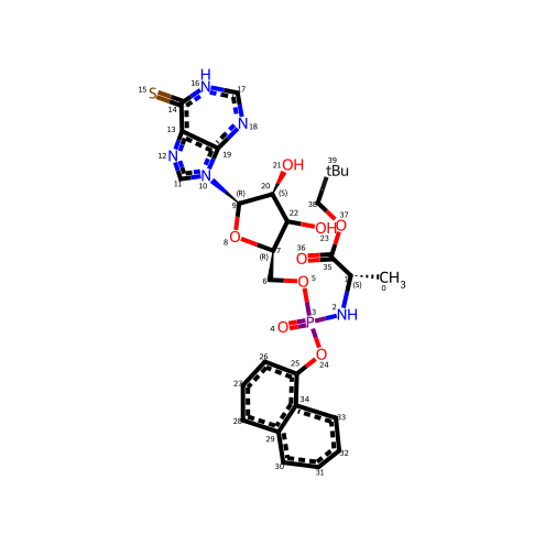 C[C@H](NP(=O)(OC[C@H]1O[C@@H](n2cnc3c(=S)[nH]cnc32)[C@@H](O)C1O)Oc1cccc2ccccc12)C(=O)OCC(C)(C)C